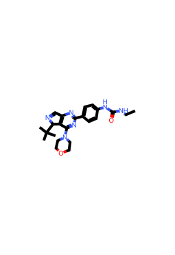 CCNC(=O)Nc1ccc(-c2nc3c(c(N4CCOCC4)n2)C(C(C)(C)C)N=C3)cc1